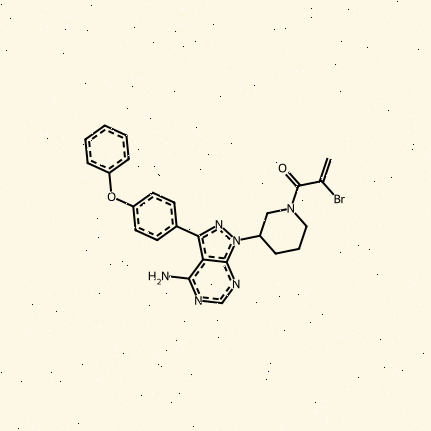 C=C(Br)C(=O)N1CCCC(n2nc(-c3ccc(Oc4ccccc4)cc3)c3c(N)ncnc32)C1